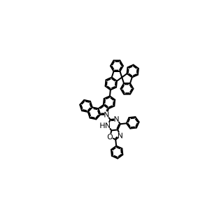 c1ccc(C2=NC3=C(c4ccccc4)N=C(n4c5ccc(-c6ccc7c(c6)C6(c8ccccc8-c8ccccc86)c6ccccc6-7)cc5c5c6ccccc6ccc54)NC3O2)cc1